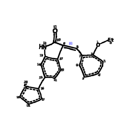 CCOc1ccccc1/C=C1/C(=O)Nc2cc(-c3cccs3)ccc21